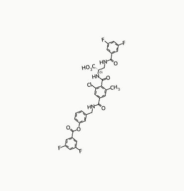 Cc1cc(C(=O)NCc2cccc(OC(=O)c3cc(F)cc(F)c3)c2)cc(Cl)c1C(=O)N[C@@H](CNC(=O)c1cc(F)cc(F)c1)C(=O)O